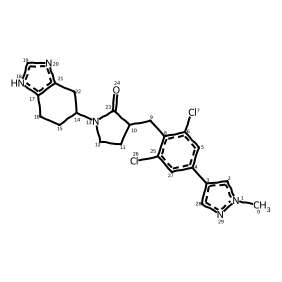 Cn1cc(-c2cc(Cl)c(CC3CCN(C4CCc5[nH]cnc5C4)C3=O)c(Cl)c2)cn1